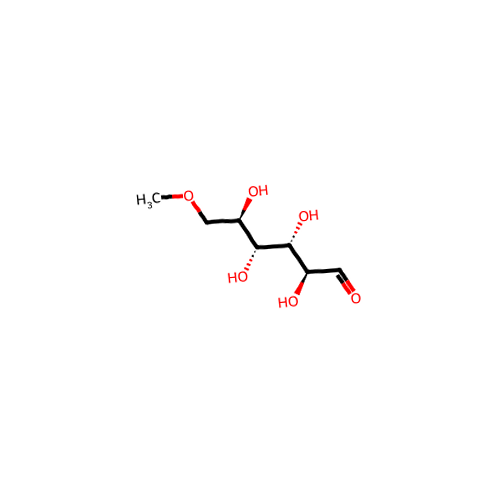 COC[C@@H](O)[C@@H](O)[C@H](O)[C@H](O)C=O